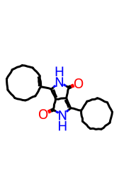 O=C1NC(C2CCCCCCCC2)=C2C(=O)NC(/C3=C/CCCCCCCC3)=C12